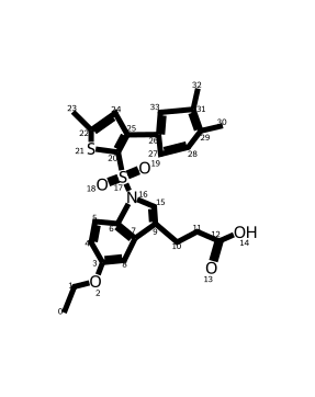 CCOc1ccc2c(c1)c(CCC(=O)O)cn2S(=O)(=O)c1sc(C)cc1-c1ccc(C)c(C)c1